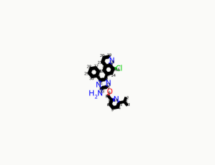 CC(C)c1cccc(COc2nc(-c3cc(Cl)c4ncccc4c3)c(-c3ccccc3)nc2N)n1